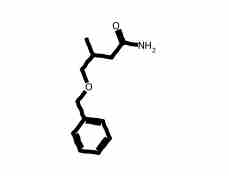 CC(COCc1ccccc1)CC(N)=O